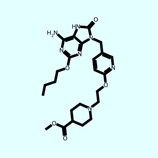 CCCCOc1nc(N)c2[nH]c(=O)n(Cc3ccc(OCCN4CCC(C(=O)OC)CC4)nc3)c2n1